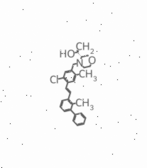 C=C(O)[C@@H]1COCCN1Cc1cc(Cl)c(/C=C/c2cccc(-c3ccccc3)c2C)cc1C